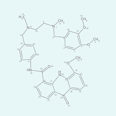 COc1ccc(CN(C)CCN(C)Cc2ccc(NC(=O)c3cccc4c(=O)c5cccc(OC)c5[nH]c34)cc2)cc1OC